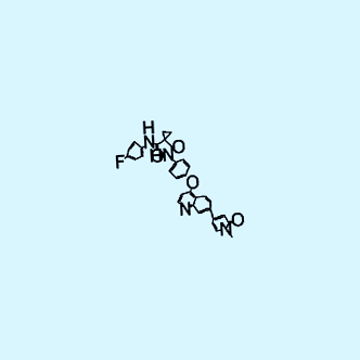 Cn1ccc(-c2ccc3c(Oc4ccc(NC(=O)C5(C(=O)Nc6ccc(F)cc6)CC5)cc4)ccnc3c2)cc1=O